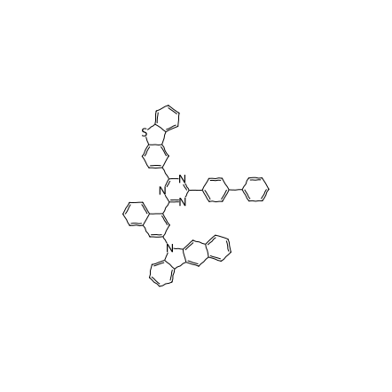 c1ccc(-c2ccc(-c3nc(-c4ccc5sc6ccccc6c5c4)nc(-c4cc(-n5c6ccccc6c6cc7ccccc7cc65)cc5ccccc45)n3)cc2)cc1